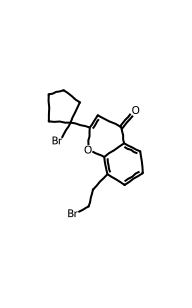 O=c1cc(C2(Br)CCCC2)oc2c(CCBr)cccc12